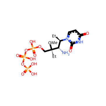 CC[C@H]([C@H](N)[C@@](CC)(COP(=O)(O)OP(=O)(O)OP(=O)(O)O)OC)n1ccc(=O)[nH]c1=O